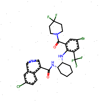 O=C(N[C@H]1CCCC[C@H]1Nc1c(C(=O)N2CCC(F)(F)CC2)cc(Br)cc1C(F)(F)F)c1cncc2cc(Cl)ccc12